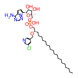 CCCCCCCCCCCCCCCCCCC[C@H](COP(=O)(O)OC[C@@]1(C)O[C@@H](c2ccc3c(N)ncnn23)[C@H](O)[C@@H]1O)OCc1cncc(Cl)c1